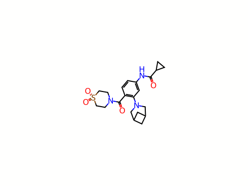 O=C(Nc1ccc(C(=O)N2CCS(=O)(=O)CC2)c(N2CC3CC(C3)C2)c1)C1CC1